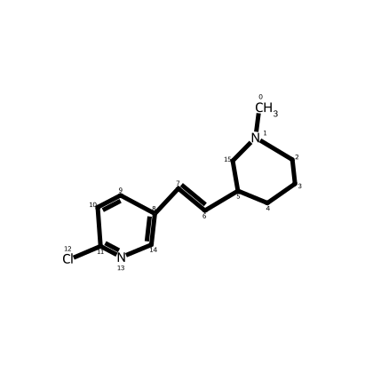 CN1CCCC(C=Cc2ccc(Cl)nc2)C1